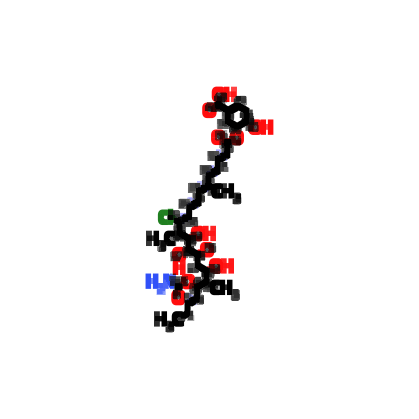 CC/C=C/[C@@H](OC(N)=O)[C@@H](C)[C@H](O)CC(=O)[C@@H](O)[C@H](O)[C@H](C)/C(Cl)=C/C=C/C=C(C)/C=C/C=C/C(=O)O[C@@H]1CC(C(=O)O)=CC[C@@H]1O